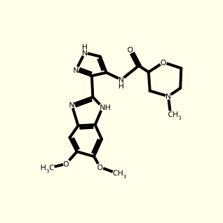 COc1cc2nc(-c3n[nH]cc3NC(=O)C3CN(C)CCO3)[nH]c2cc1OC